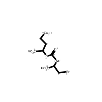 CC(C)CC(NC(=O)OC(CCC(=O)O)C(=O)O)C(=O)O